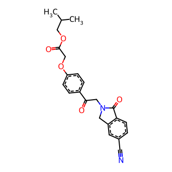 CC(C)COC(=O)COc1ccc(C(=O)CN2Cc3cc(C#N)ccc3C2=O)cc1